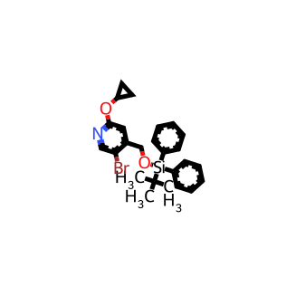 CC(C)(C)[Si](OCc1cc(OC2CC2)ncc1Br)(c1ccccc1)c1ccccc1